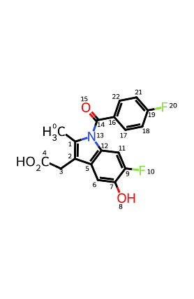 Cc1c(CC(=O)O)c2cc(O)c(F)cc2n1C(=O)c1ccc(F)cc1